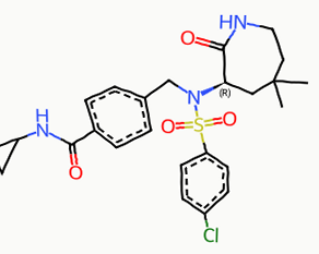 CC1(C)CCNC(=O)[C@H](N(Cc2ccc(C(=O)NC3CC3)cc2)S(=O)(=O)c2ccc(Cl)cc2)C1